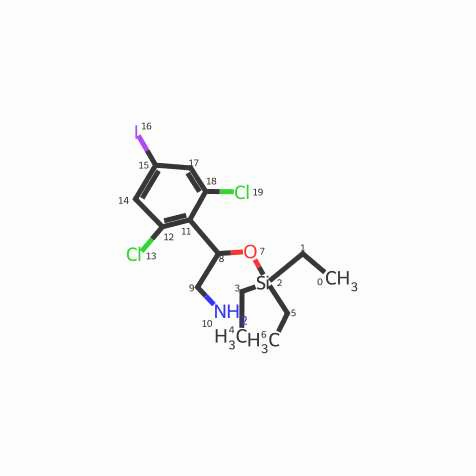 CC[Si](CC)(CC)OC(CN)c1c(Cl)cc(I)cc1Cl